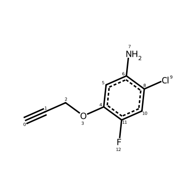 C#CCOc1cc(N)c(Cl)cc1F